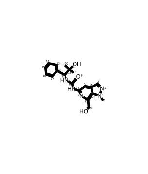 Cn1ncc2cc(NC(=O)N[C@@H](c3ccccc3)C(C)(C)O)nc(CO)c21